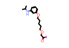 CC(C)Nc1cccc(OCCCCCOCC(=O)I)c1